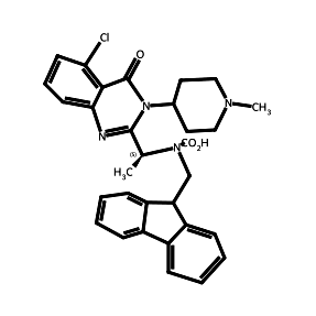 C[C@@H](c1nc2cccc(Cl)c2c(=O)n1C1CCN(C)CC1)N(CC1c2ccccc2-c2ccccc21)C(=O)O